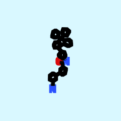 N#Cc1cccc(-c2cccc(-c3nc4ccc(-c5cccc6c5-c5ccccc5C6(c5ccccc5)c5ccccc5)cc4o3)c2)c1